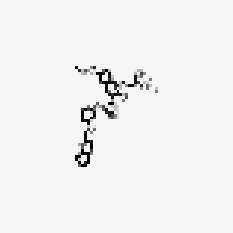 COc1ccc2c(c1)cc(-c1nnnn1Cc1cccc(OCc3ccc4ccccc4n3)c1)c(=O)n2CCN(C)C